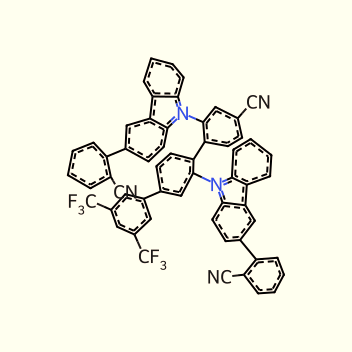 N#Cc1ccc(-c2ccc(-c3cc(C(F)(F)F)cc(C(F)(F)F)c3)cc2-n2c3ccccc3c3cc(-c4ccccc4C#N)ccc32)c(-n2c3ccccc3c3cc(-c4ccccc4C#N)ccc32)c1